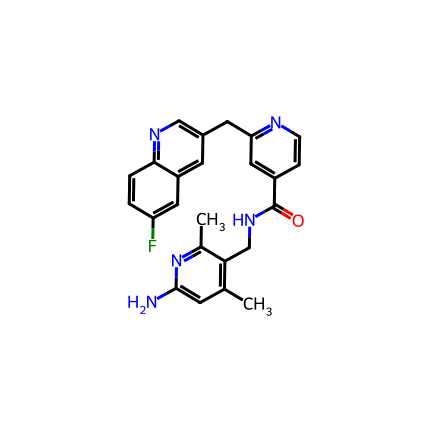 Cc1cc(N)nc(C)c1CNC(=O)c1ccnc(Cc2cnc3ccc(F)cc3c2)c1